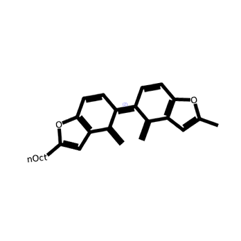 C=c1/c(=c2/ccc3oc(CCCCCCCC)cc3c2=C)ccc2oc(C)cc12